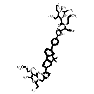 C#CC(C1=NCC(c2ccc(-c3ccc4c(c3)C(F)(F)C3=C4C=CC(c4cnc(CN(CCC)C(=O)C(C(C)C)N(C)COC)[nH]4)C3)cc2)N1)N(CCC)C(=O)[C@H](NC(C)OC)/C(=C/C=C\C)CC